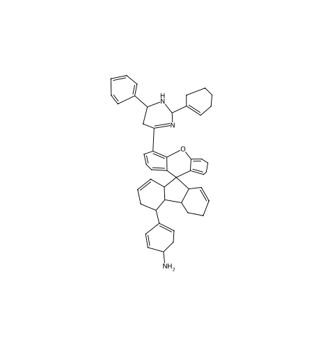 NC1C=CC(C2CC=CC3C2C2CCC=CC2C32C3=CCCC=C3Oc3c(C4=NC(C5=CCCCC5)NC(c5ccccc5)C4)cccc32)=CC1